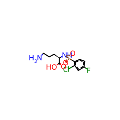 NCCC[C@@H](NS(=O)(=O)c1ccc(F)cc1Cl)C(=O)O